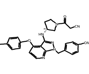 COc1ccc(Cn2nc(N[C@@H]3CCN(C(=O)CC#N)C3)c3c(Oc4ccc(C)cc4)ccnc32)cc1